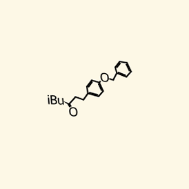 CC[C@H](C)C(=O)CCc1ccc(OCc2ccccc2)cc1